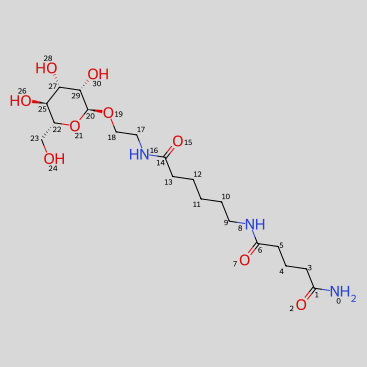 NC(=O)CCCC(=O)NCCCCCC(=O)NCCO[C@H]1O[C@H](CO)[C@@H](O)[C@H](O)[C@@H]1O